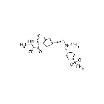 Cc1[nH]c(C)c(-c2ccc(C#CCN(C)Cc3ccc(S(C)(=O)=O)cc3)cc2)c(=O)c1Cl